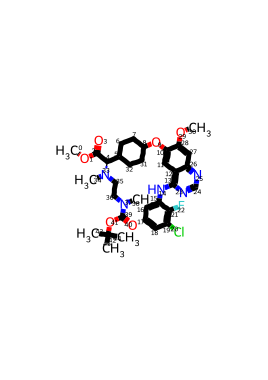 COC(=O)[C@H](C1CCC(Oc2cc3c(Nc4cccc(Cl)c4F)ncnc3cc2OC)CC1)N(C)CCN(C)C(=O)OC(C)(C)C